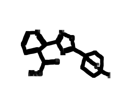 COC(=O)c1cccnc1-c1noc(C23CCC(I)(CC2)CC3)n1